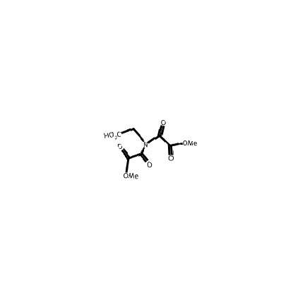 COC(=O)C(=O)N(CC(=O)O)C(=O)C(=O)OC